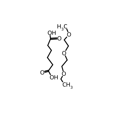 CCOCCOCCOC.O=C(O)CCCCC(=O)O